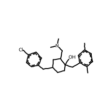 Cc1ccc(C)c(CC2(O)CCC(Cc3ccc(Cl)cc3)CC2CN(C)C)c1